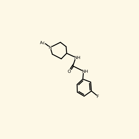 CC(=O)N1CCC(NC(=O)Nc2cccc(F)c2)CC1